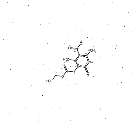 CCOC(=O)Cn1c(C)c([N+](=O)[O-])c(C)nc1=O